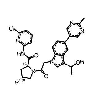 Cc1ncc(-c2ccc3c(c2)c(C(C)O)cn3CC(=O)N2C[C@H](F)C[C@H]2C(=O)Nc2cccc(Cl)n2)cn1